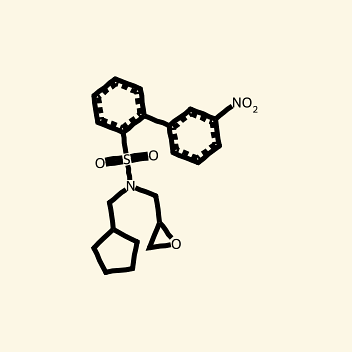 O=[N+]([O-])c1cccc(-c2ccccc2S(=O)(=O)N(CC2CCCC2)CC2CO2)c1